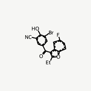 CCc1oc2ccc(F)cc2c1C(=O)c1cc(Br)c(O)c(C#N)c1